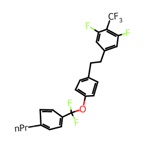 CCCc1ccc(C(F)(F)Oc2ccc(CCc3cc(F)c(C(F)(F)F)c(F)c3)cc2)cc1